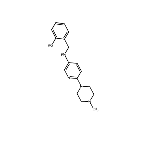 CN1CCN(c2ccc(NCc3ccccc3O)cn2)CC1